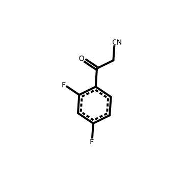 N#CCC(=O)c1ccc(F)cc1F